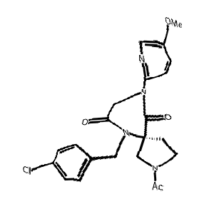 COc1ccc(N2CC(=O)N(Cc3ccc(Cl)cc3)[C@@]3(CCN(C(C)=O)C3)C2=O)nc1